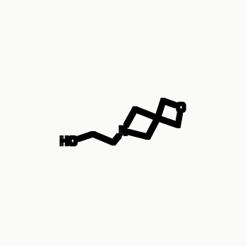 OCCN1CC2(COC2)C1